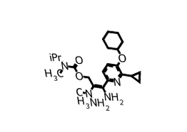 CC(C)N(C)C(=O)OC/C(=C(/N)c1ccc(OC2CCCCC2)c(C2CC2)n1)N(C)N